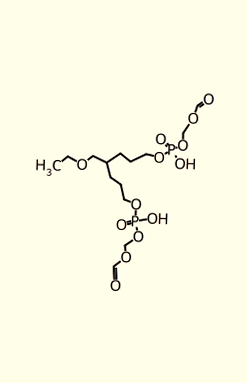 CCOCC(CCCOP(=O)(O)OCOC=O)CCCOP(=O)(O)OCOC=O